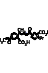 C=CC(=O)N1CCN(C(C)C/C=C/C(=O)N2CCN(C(C)C)C(C(=O)O)C2)C(CC(=O)O)C1